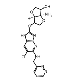 N[C@]12OC[C@@H](Oc3nc4nc(NCc5cccnn5)c(Cl)cc4[nH]3)[C@H]1OC[C@H]2O